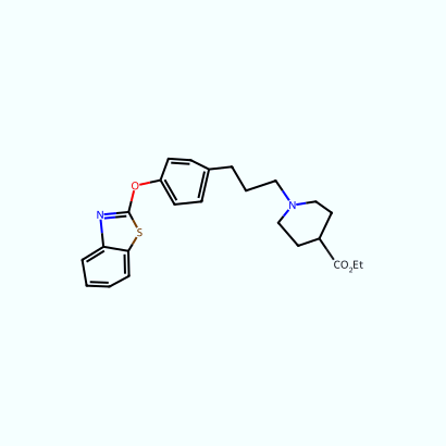 CCOC(=O)C1CCN(CCCc2ccc(Oc3nc4ccccc4s3)cc2)CC1